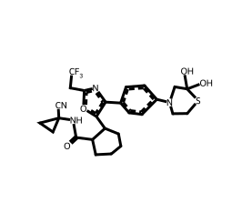 N#CC1(NC(=O)C2CCCCC2c2oc(CC(F)(F)F)nc2-c2ccc(N3CCSC(O)(O)C3)cc2)CC1